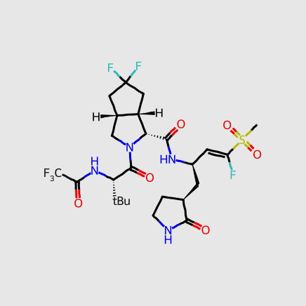 CC(C)(C)[C@H](NC(=O)C(F)(F)F)C(=O)N1C[C@@H]2CC(F)(F)C[C@@H]2[C@@H]1C(=O)N[C@@H](/C=C(\F)S(C)(=O)=O)C[C@@H]1CCNC1=O